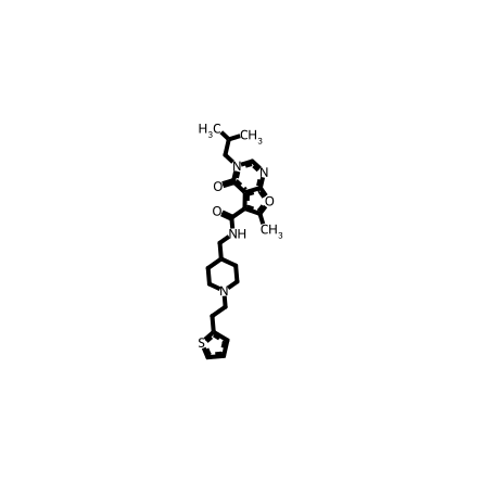 Cc1oc2ncn(CC(C)C)c(=O)c2c1C(=O)NCC1CCN(CCc2cccs2)CC1